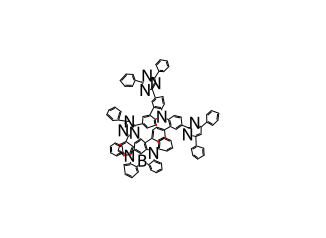 c1ccc(-c2cc(-c3ccccc3)nc(-c3ccc(-n4c5ccc(-c6nc(-c7ccccc7)nc(-c7ccccc7)n6)cc5c5cc(-c6nc(-c7ccccc7)nc(-c7ccccc7)n6)ccc54)c(-c4ccc(-c5ccc6c7c5N(c5ccccc5)c5ccccc5B7c5ccccc5N6c5ccccc5)cc4)c3)n2)cc1